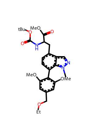 CCOCc1cc(OC)c(-c2ccc(CC(NC(=O)OC(C)(C)C)C(=O)OC)c3cnn(C)c23)c(OC)c1